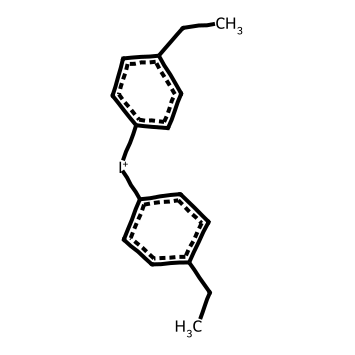 CCc1ccc([I+]c2ccc(CC)cc2)cc1